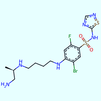 C[C@H](CN)NCCCCNc1cc(F)c(S(=O)(=O)Nc2ncns2)cc1Br